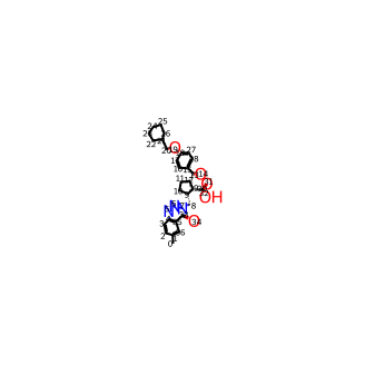 Cc1ccc2nnn(C[C@@H]3CC[C@H](C(=O)c4ccc(OCC5CCCCC5)cc4)[C@H]3C(=O)O)c(=O)c2c1